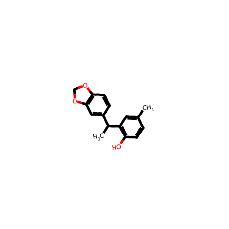 Cc1ccc(O)c(C(C)c2ccc3c(c2)OCO3)c1